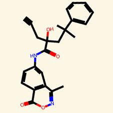 C#CCC(O)(CC(C)(C)c1ccccc1)C(=O)Nc1ccc2c(=O)onc(C)c2c1